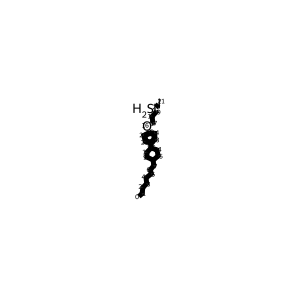 CCCCCCCCC1CCC(c2ccc(OCCC[SiH2]I)cc2)CC1